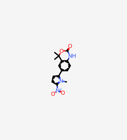 Cn1c(-c2ccc3c(c2)C(C)(C)OC(=O)N3)ccc1[N+](=O)[O-]